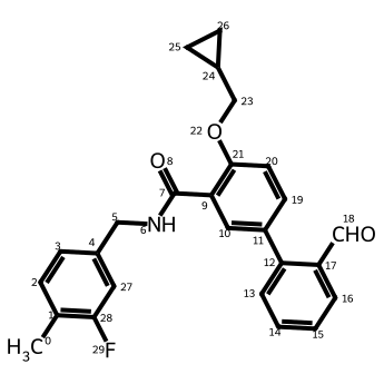 Cc1ccc(CNC(=O)c2cc(-c3ccccc3C=O)ccc2OCC2CC2)cc1F